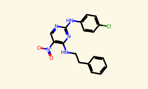 O=[N+]([O-])c1cnc(Nc2ccc(Cl)cc2)nc1NCCc1ccccc1